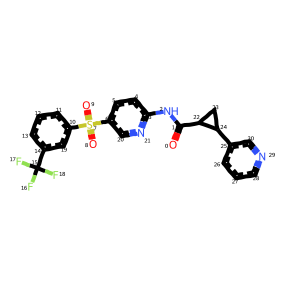 O=C(Nc1ccc(S(=O)(=O)c2cccc(C(F)(F)F)c2)cn1)C1CC1c1cccnc1